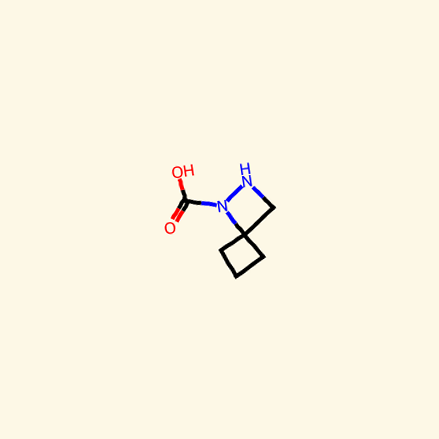 O=C(O)N1NCC12CCC2